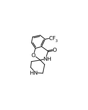 O=C1NC2(CCNCC2)Oc2cccc(C(F)(F)F)c21